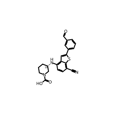 N#Cc1ccc(N[C@H]2CCCN(C(=O)O)C2)c2cc(-c3cccc(C=O)c3)sc12